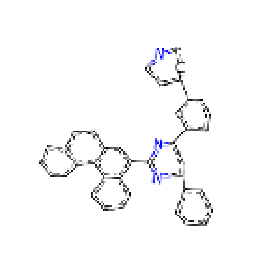 c1ccc(-c2cc(-c3cccc(-c4ccncc4)c3)nc(-c3cc4ccc5ccccc5c4c4ccccc34)n2)cc1